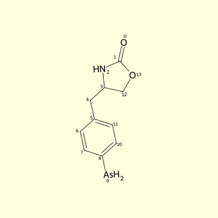 O=C1NC(Cc2ccc([AsH2])cc2)CO1